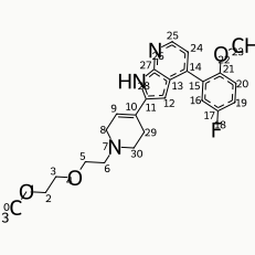 COCCOCCN1CC=C(c2cc3c(-c4cc(F)ccc4OC)ccnc3[nH]2)CC1